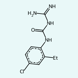 CCc1cc(Cl)ccc1NC(=O)NC(=N)N